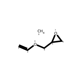 C.C=COCC1CO1